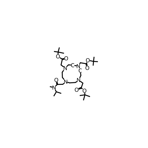 CC(C)N(C)C(=O)CN1CCN(CC(=O)OC(C)(C)C)CCN(CC(=O)OC(C)(C)C)CCN(CC(=O)OC(C)(C)C)CC1